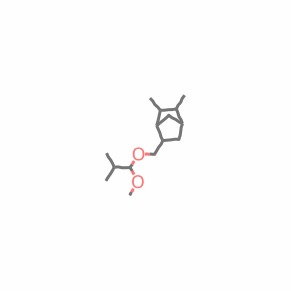 COC(OCC1CC2CC1C(C)C2C)C(C)C